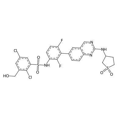 O=S1(=O)CCC(Nc2ncc3cc(-c4c(F)ccc(NS(=O)(=O)c5cc(Cl)cc(CO)c5Cl)c4F)ccc3n2)C1